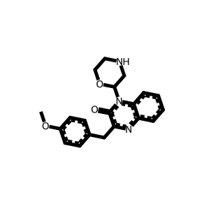 COc1ccc(Cc2nc3ccccc3n(C3CNCCO3)c2=O)cc1